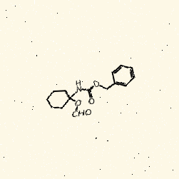 O=COC1(NC(=O)OCc2ccccc2)CCCCC1